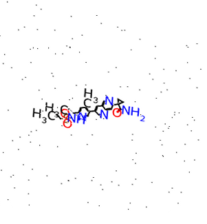 CCCS(=O)(=O)N[C@H](CC)c1cc(C)c(-c2cnc3cc(C4(C(N)=O)CC4)ncc3c2)cn1